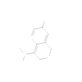 CC(C)N(C)C1=C2N=CC(Cl)C=C2CNC1.Cl.Cl